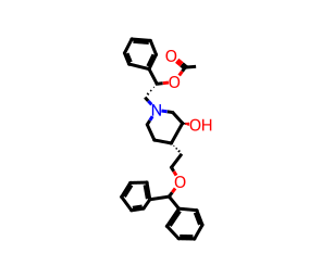 CC(=O)O[C@H](CN1CC[C@@H](CCOC(c2ccccc2)c2ccccc2)[C@H](O)C1)c1ccccc1